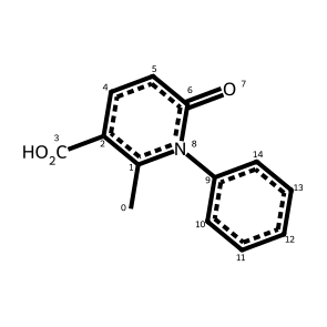 Cc1c(C(=O)O)ccc(=O)n1-c1ccccc1